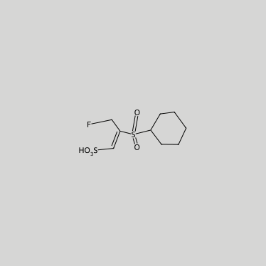 O=S(=O)(O)C=C(CF)S(=O)(=O)C1CCCCC1